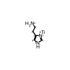 NCCc1c[nH]cn1.[Ti]